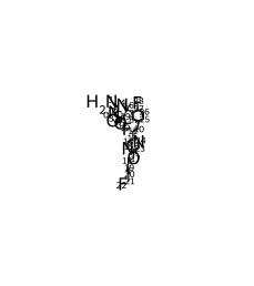 CN1C(N)=NC(C)(c2cc(C=C(F)c3cnc(OCC#CCF)cn3)ccc2F)CS1(=O)=O